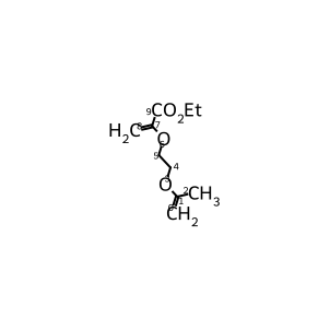 C=C(C)OCCOC(=C)C(=O)OCC